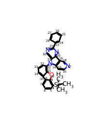 C[Si](C)(C)c1cccc2c1oc1c(-n3c4ccncc4c4nc(-c5ccccc5)ncc43)cccc12